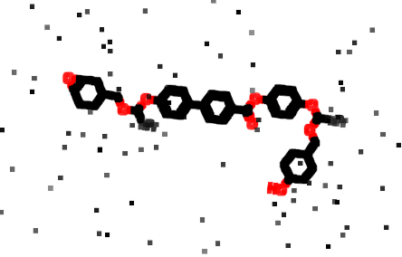 CCCC(OCC1CCC(O)CC1)Oc1ccc(OC(=O)c2ccc(-c3ccc(OC(CCC)OCC4CCC5OC5C4)cc3)cc2)cc1